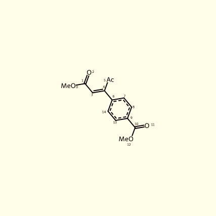 COC(=O)C=C(C(C)=O)c1ccc(C(=O)OC)cc1